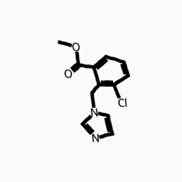 COC(=O)c1cccc(Cl)c1Cn1ccnc1